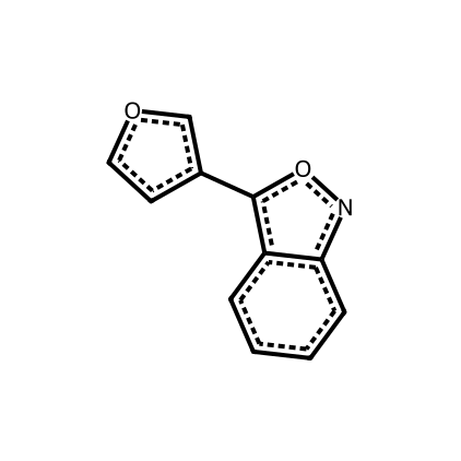 c1ccc2c(-c3ccoc3)onc2c1